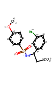 O=C(O)CC(NS(=O)(=O)c1ccc(OC(F)(F)F)cc1)c1cccc(Br)c1